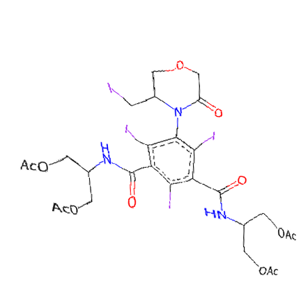 CC(=O)OCC(COC(C)=O)NC(=O)c1c(I)c(C(=O)NC(COC(C)=O)COC(C)=O)c(I)c(N2C(=O)COCC2CI)c1I